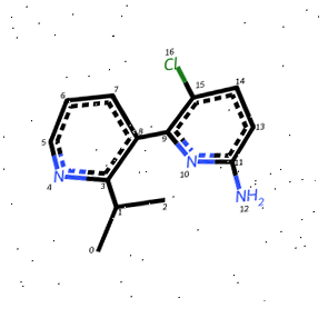 CC(C)c1ncccc1-c1nc(N)ccc1Cl